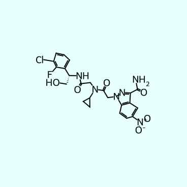 NC(=O)c1nn(CC(=O)N(CC(=O)N[C@H](CO)c2cccc(Cl)c2F)C2CC2)c2ccc([N+](=O)[O-])cc12